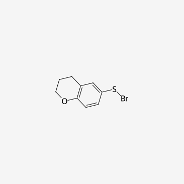 BrSc1ccc2c(c1)CCCO2